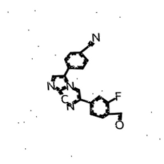 N#Cc1ccc(-c2cnc3cnc(-c4ccc(C=O)c(F)c4)cn23)cc1